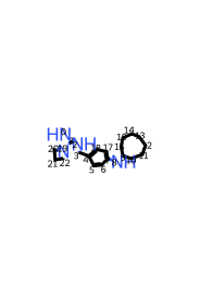 N=C(NCc1ccc(NC2CCCCCCC2)cc1)N1CCC1